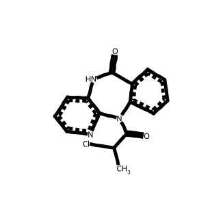 CC(Cl)C(=O)N1c2ccccc2C(=O)Nc2cccnc21